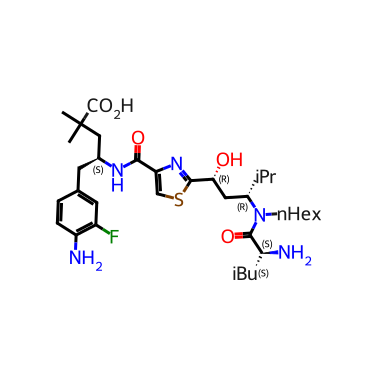 CCCCCCN(C(=O)[C@@H](N)[C@@H](C)CC)[C@H](C[C@@H](O)c1nc(C(=O)N[C@@H](Cc2ccc(N)c(F)c2)CC(C)(C)C(=O)O)cs1)C(C)C